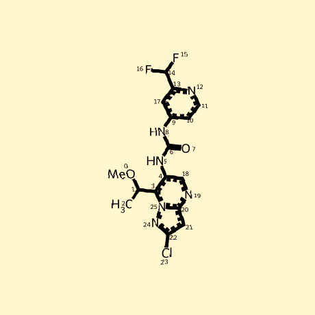 COC(C)c1c(NC(=O)Nc2ccnc(C(F)F)c2)cnc2cc(Cl)nn12